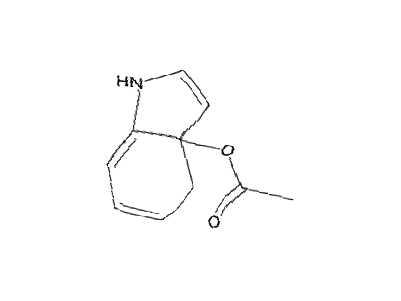 CC(=O)OC12C=CNC1=CC=CC2